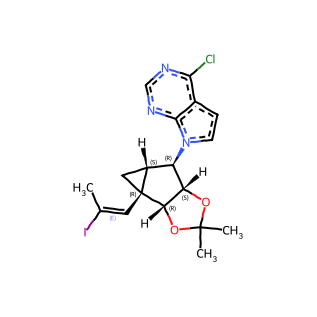 C/C(I)=C\[C@@]12C[C@@H]1[C@@H](n1ccc3c(Cl)ncnc31)[C@@H]1OC(C)(C)O[C@@H]12